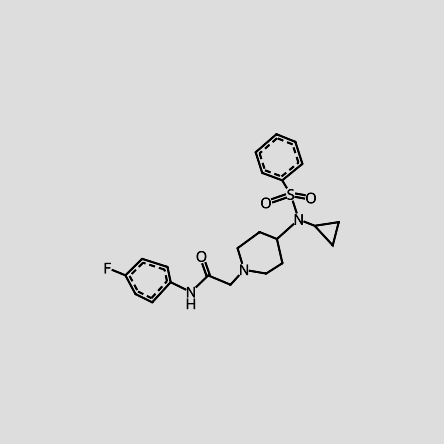 O=C(CN1CCC(N(C2CC2)S(=O)(=O)c2ccccc2)CC1)Nc1ccc(F)cc1